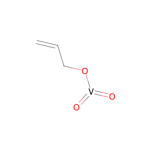 C=CC[O][V](=[O])=[O]